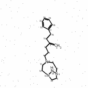 C=C(CCCN1CCN2CCN(CC1)N2)CCc1ccccc1